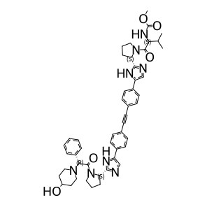 COC(=O)N[C@H](C(=O)N1CCC[C@H]1c1ncc(-c2ccc(C#Cc3ccc(-c4cnc([C@@H]5CCCN5C(=O)[C@@H](c5ccccc5)N5CCC(O)CC5)[nH]4)cc3)cc2)[nH]1)C(C)C